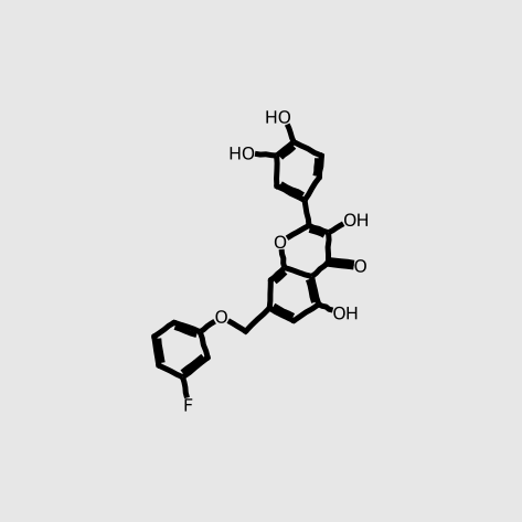 O=c1c(O)c(-c2ccc(O)c(O)c2)oc2cc(COc3cccc(F)c3)cc(O)c12